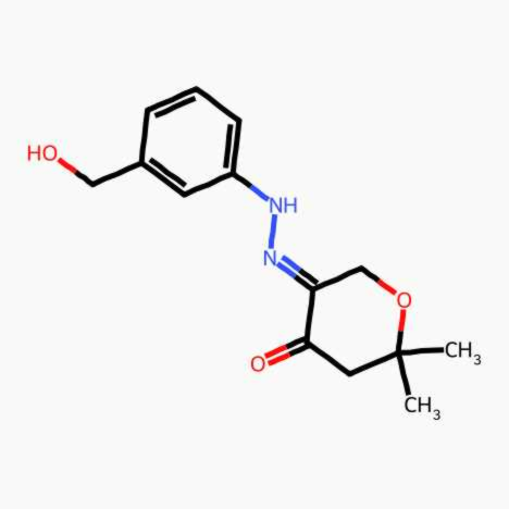 CC1(C)CC(=O)/C(=N/Nc2cccc(CO)c2)CO1